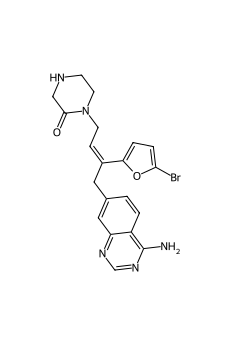 Nc1ncnc2cc(CC(=CCN3CCNCC3=O)c3ccc(Br)o3)ccc12